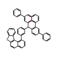 c1ccc(-c2cccc(N(c3cccc(-c4cccc5ccc6sc7ccccc7c6c45)c3)c3ccc(-c4ccccc4)cc3-c3ccccc3)c2)cc1